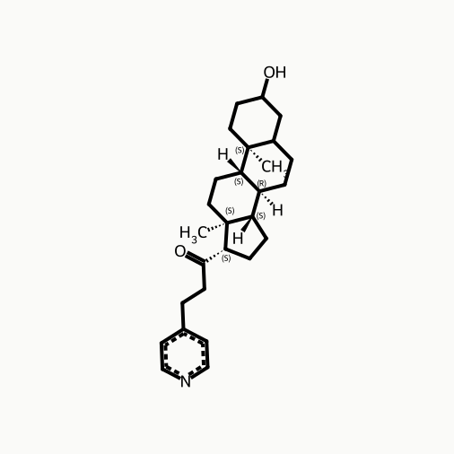 C[C@]12CC[C@H]3[C@@H](CCC4CC(O)CC[C@@]43C)[C@@H]1CC[C@@H]2C(=O)CCc1ccncc1